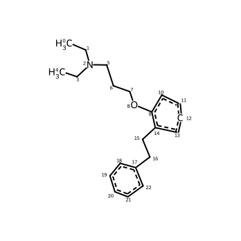 CCN(CC)CCCOc1ccccc1CCc1ccccc1